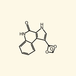 O=c1[nH]c2ccccc2c2c(C34OC(O3)O4)c[nH]c12